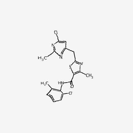 Cc1nc(Cl)cc(Cc2nc(C)c(C(=O)Nc3c(C)cccc3Cl)s2)n1